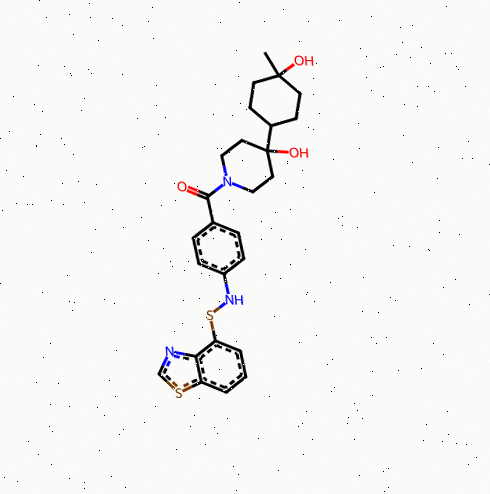 CC1(O)CCC(C2(O)CCN(C(=O)c3ccc(NSc4cccc5scnc45)cc3)CC2)CC1